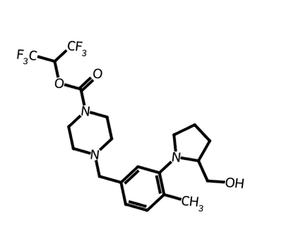 Cc1ccc(CN2CCN(C(=O)OC(C(F)(F)F)C(F)(F)F)CC2)cc1N1CCCC1CO